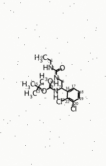 CCNC(=O)NCC(NC(=O)OC(C)(C)C)c1cccc(Cl)c1Cl